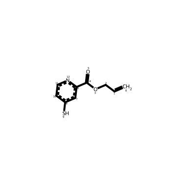 C=CCOC(=O)c1cc(S)ccn1